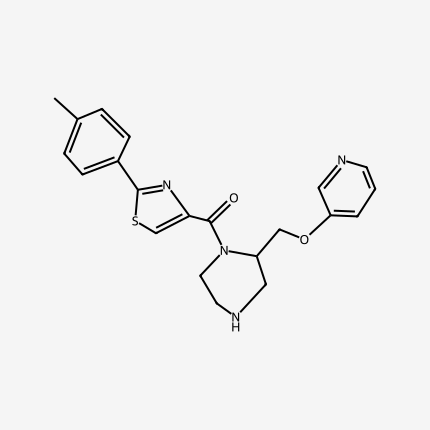 Cc1ccc(-c2nc(C(=O)N3CCNCC3COc3cccnc3)cs2)cc1